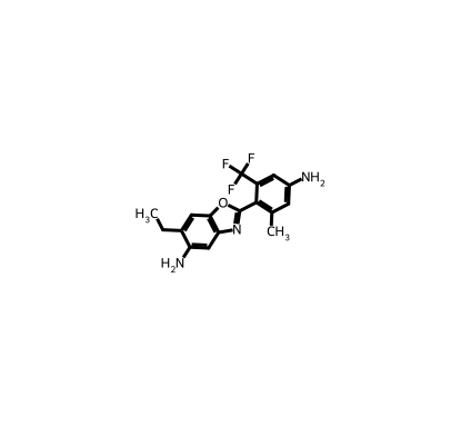 CCc1cc2oc(-c3c(C)cc(N)cc3C(F)(F)F)nc2cc1N